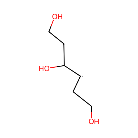 OCC[CH]C(O)CCO